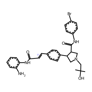 CC(C)(O)CN1CC(C(=O)Nc2ccc(Br)cc2)C(c2ccc(/C=C/C(=O)Nc3ccccc3N)cc2)C1